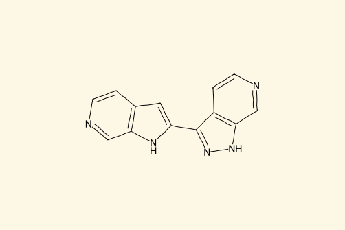 c1cc2cc(-c3n[nH]c4cnccc34)[nH]c2cn1